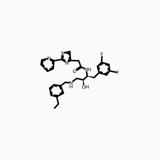 CCc1cccc(CNC[C@H](O)[C@H](Cc2cc(F)cc(F)c2)NC(=O)Cc2csc(-c3ccccn3)n2)c1